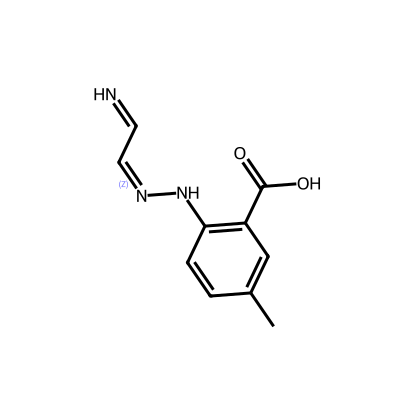 Cc1ccc(N/N=C\C=N)c(C(=O)O)c1